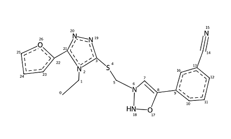 CCn1c(SCN2C=C(c3cccc(C#N)c3)ON2)nnc1-c1ccco1